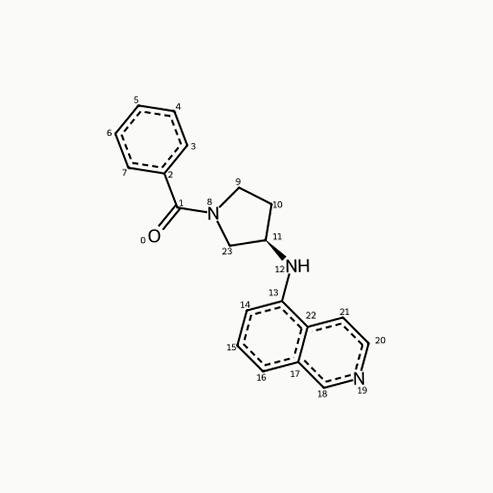 O=C(c1ccccc1)N1CC[C@@H](Nc2cccc3cnccc23)C1